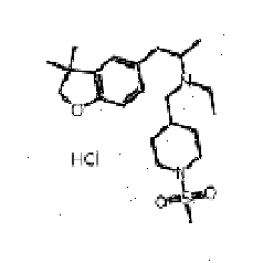 CCN(CC1CCN(S(C)(=O)=O)CC1)C(C)Cc1ccc2c(c1)C(C)(C)CO2.Cl